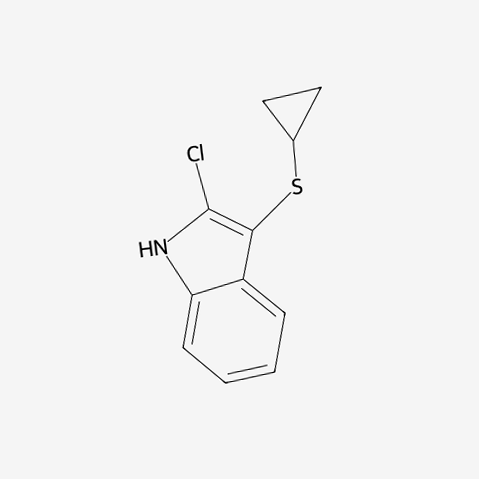 Clc1[nH]c2ccccc2c1SC1CC1